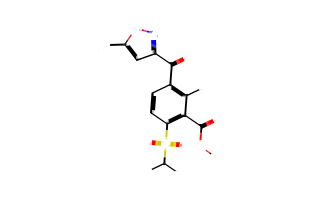 COC(=O)c1c(S(=O)(=O)C(C)C)ccc(C(=O)c2cc(C)on2)c1C